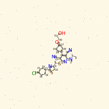 CCN(C)c1nc(SCc2csc(-c3ccc(Cl)cc3)n2)c(C#N)c(-c2ccc(OCCO)cc2)c1C#N